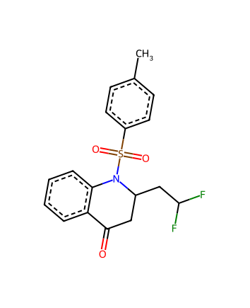 Cc1ccc(S(=O)(=O)N2c3ccccc3C(=O)CC2CC(F)F)cc1